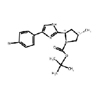 C[C@H]1C[C@H](c2nc(-c3ccc(Br)cc3)c[nH]2)N(C(=O)OC(C)(C)C)C1